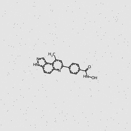 Cc1cc(-c2ccc(C(=O)NO)cc2)nc2ccc3[nH]ncc3c12